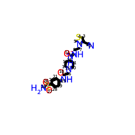 N#CC1CSCN1CCN[NH+]([O-])C1CCN(CC(=O)Nc2ccc(S(N)(=O)=O)cc2)CC1